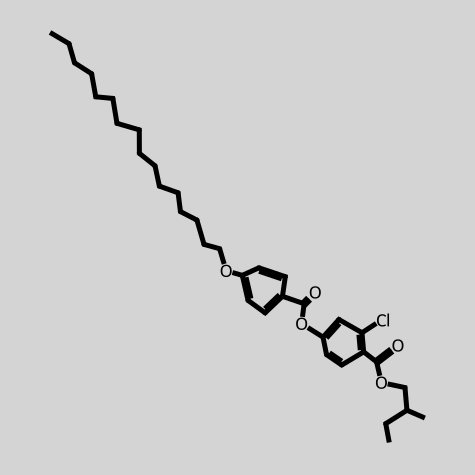 CCCCCCCCCCCCCCCCOc1ccc(C(=O)Oc2ccc(C(=O)OCC(C)CC)c(Cl)c2)cc1